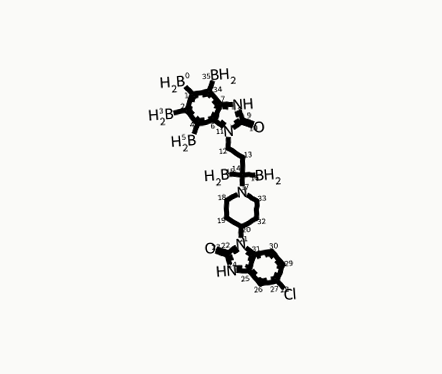 Bc1c(B)c(B)c2c([nH]c(=O)n2CCC(B)(B)N2CCC(n3c(=O)[nH]c4cc(Cl)ccc43)CC2)c1B